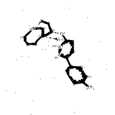 FC(F)(F)c1ccc(-c2ccc(O[C@H]3CC[N@@]4CCC[C@H]3C4)nn2)cc1